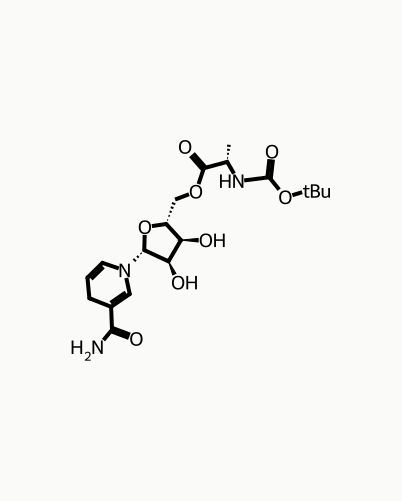 C[C@H](NC(=O)OC(C)(C)C)C(=O)OC[C@H]1O[C@@H](N2C=CCC(C(N)=O)=C2)[C@H](O)[C@@H]1O